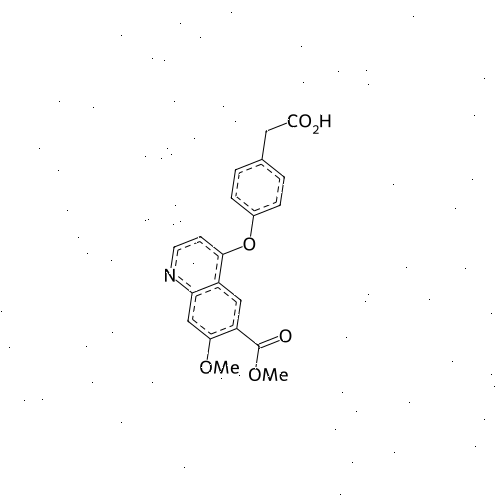 COC(=O)c1cc2c(Oc3ccc(CC(=O)O)cc3)ccnc2cc1OC